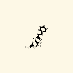 NC(=O)C[C@H](NC(=O)CCN1CCCCC1)C(=O)O